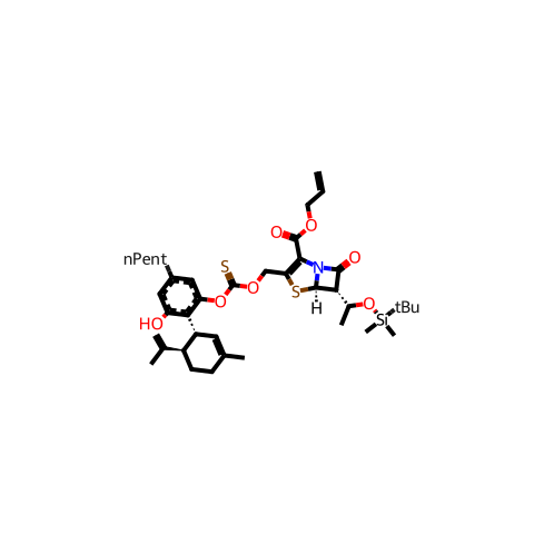 C=CCOC(=O)C1=C(COC(=S)Oc2cc(CCCCC)cc(O)c2[C@@H]2C=C(C)CC[C@H]2C(=C)C)S[C@@H]2[C@@H](C(C)O[Si](C)(C)C(C)(C)C)C(=O)N12